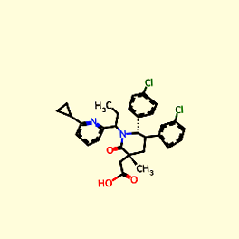 CCC(c1cccc(C2CC2)n1)N1C(=O)[C@@](C)(CC(=O)O)CC(c2cccc(Cl)c2)[C@H]1c1ccc(Cl)cc1